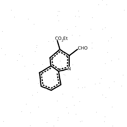 CCOC(=O)c1cc2ccccc2nc1C=O